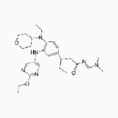 CCOc1ncc(Nc2cc(C(CC)CC(=O)N=CN(C)C)ccc2N(CC)C2CCOCC2)cn1